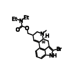 CCN(CC)C(=O)OCC1C=C2c3cccc4[nH]c(Br)c(c34)C[C@@H]2N(C)C1